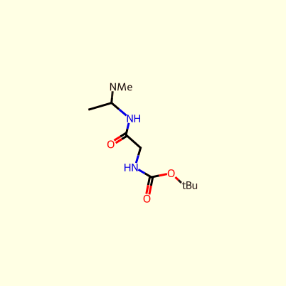 CNC(C)NC(=O)CNC(=O)OC(C)(C)C